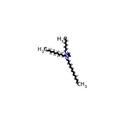 CCCCCCCCCCCCCC[n+]1ccn(CCCCCCC)c1CCCCCCCCCC